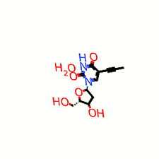 CC#Cc1cn([C@@H]2CC(O)[C@H](CO)O2)c(=O)[nH]c1=O.O